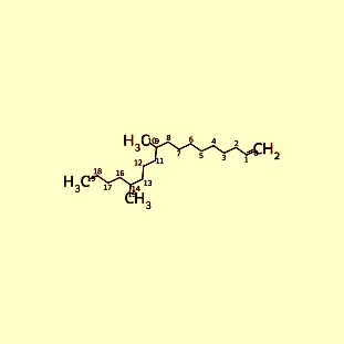 C=CCCCCCCCC(C)CCCC(C)CCCC